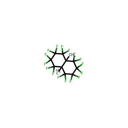 CC12C(F)(F)C(F)(F)C(F)(F)C(F)(F)C1(C)C(F)(F)C(F)(F)C(F)(F)C2(F)F